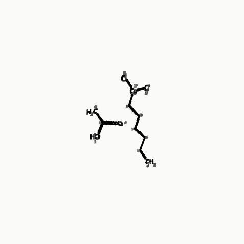 CC(=O)O.CCCCC[CH2][Co]([Cl])[Cl]